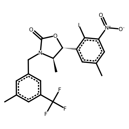 Cc1cc(CN2C(=O)O[C@H](c3cc(C)cc([N+](=O)[O-])c3I)[C@H]2C)cc(C(F)(F)F)c1